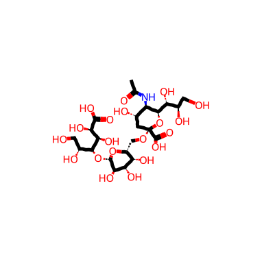 CC(=O)N[C@H]1[C@H]([C@H](O)[C@H](O)CO)O[C@@](OC[C@H]2O[C@@H](O[C@@H]([C@H](O)[C@@H](O)C(=O)O)[C@H](O)CO)[C@H](O)[C@@H](O)[C@H]2O)(C(=O)O)C[C@@H]1O